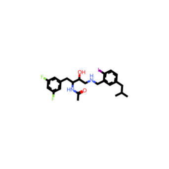 CC(=O)NC(Cc1cc(F)cc(F)c1)C(O)CNCc1cc(CC(C)C)ccc1I